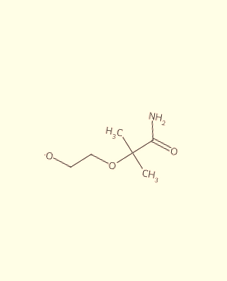 CC(C)(OCC[O])C(N)=O